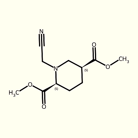 COC(=O)[C@H]1CC[C@@H](C(=O)OC)N(CC#N)C1